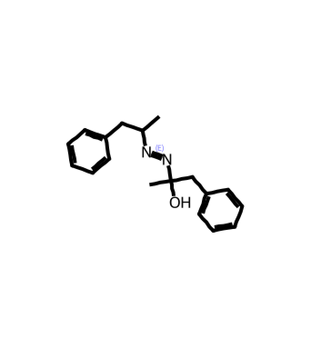 CC(Cc1ccccc1)/N=N/C(C)(O)Cc1ccccc1